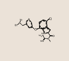 CCN(CC)Cc1cncc(Oc2ccc(Cl)c3cc(C(=O)N(C)C(=N)N)[nH]c23)c1